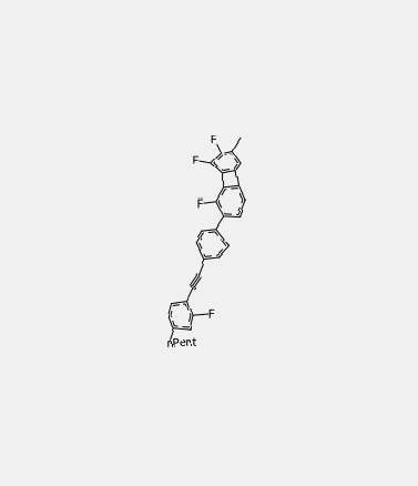 CCCCCc1ccc(C#Cc2ccc(-c3ccc4c(c3F)-c3c-4cc(C)c(F)c3F)cc2)c(F)c1